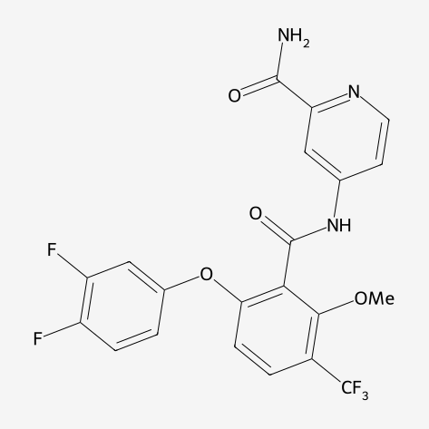 COc1c(C(F)(F)F)ccc(Oc2ccc(F)c(F)c2)c1C(=O)Nc1ccnc(C(N)=O)c1